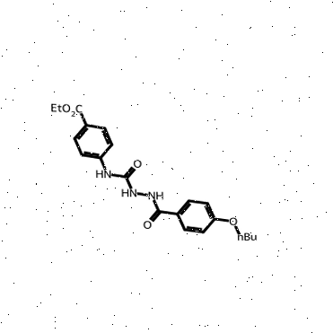 CCCCOc1ccc(C(=O)NNC(=O)Nc2ccc(C(=O)OCC)cc2)cc1